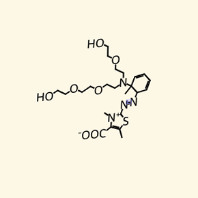 Cc1sc(/N=N/C2C=CC=CC2(C)N(CCOCCO)CCOCCOCCO)[n+](C)c1C(=O)[O-]